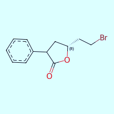 O=C1O[C@@H](CCBr)CC1c1ccccc1